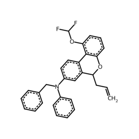 C=CCC1Oc2cccc(OC(F)F)c2-c2ccc(N(Cc3ccccc3)c3ccccc3)cc21